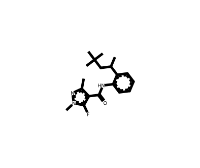 Cc1nn(C)c(F)c1C(=O)Nc1ccccc1C(C)CC(C)(C)C